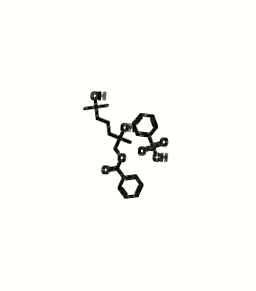 CC(C)(O)CCCC(C)(O)COC(=O)c1ccccc1.O=S(=O)(O)c1ccccc1